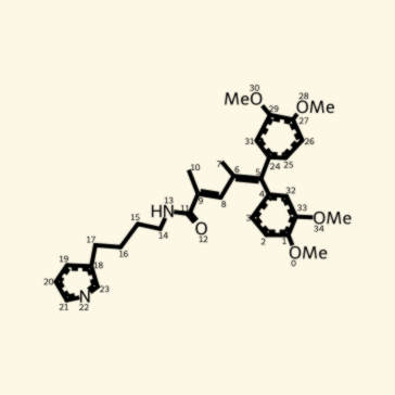 COc1ccc(C(=C(C)/C=C(\C)C(=O)NCCCCc2cccnc2)c2ccc(OC)c(OC)c2)cc1OC